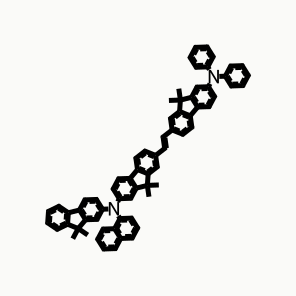 CC1(C)c2cc(/C=C/c3ccc4c(c3)C(C)(C)c3cc(N(c5ccc6c(c5)C(C)(C)c5ccccc5-6)c5cccc6ccccc56)ccc3-4)ccc2-c2ccc(N(c3ccccc3)c3ccccc3)cc21